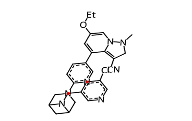 CCOC1=CN2C(=C(C#N)CN2C)C(c2ccc(N3CC4CC(C3)N4Cc3cncc(Cl)c3)nc2)=C1